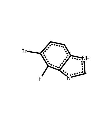 Fc1c(Br)ccc2[nH][c]nc12